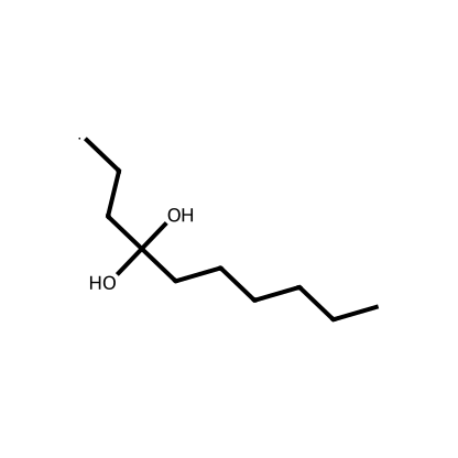 [CH2]CCC(O)(O)CCCCCC